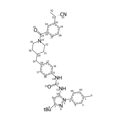 Cc1ccc(-n2nc(C(C)(C)C)cc2NC(=O)Nc2ccc(CC3CCN(C(=O)c4cccc([C@H](C)C#N)c4)CC3)cc2)cc1